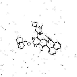 CC#Cc1cccc2cccc(-c3ncc4c(NCC5(N(C)C)CCC5)nc(OC[C@@]56CCCN5C[C@H](C)C6)nc4c3F)c12